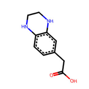 O=C(O)Cc1ccc2c(c1)NCCN2